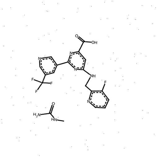 CNC(N)=O.O=C(O)c1cc(NCc2ncccc2F)nc(-c2cncc(C(F)(F)F)c2)n1